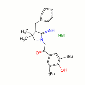 Br.CC(C)(C)c1cc(C(=O)CN2CC(C)(C)C(Cc3ccccc3)C2=N)cc(C(C)(C)C)c1O